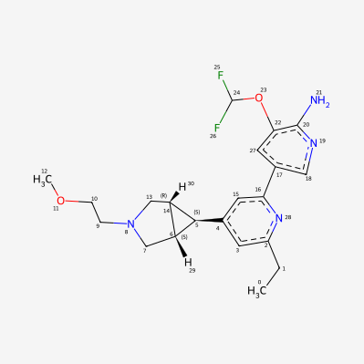 CCc1cc([C@H]2[C@@H]3CN(CCOC)C[C@@H]32)cc(-c2cnc(N)c(OC(F)F)c2)n1